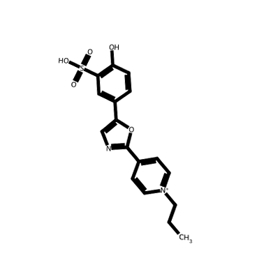 CCC[n+]1ccc(-c2ncc(-c3ccc(O)c(S(=O)(=O)O)c3)o2)cc1